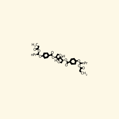 C=CC(=O)OC(CCC)Oc1ccc(C(=O)O[C@H]2CO[C@H]3[C@@H]2OC[C@H]3OC(=O)c2ccc(OC(CCC)OC(=O)C=C)cc2)cc1